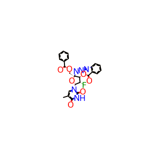 Cc1cn([C@@H]2O[C@@](COC(=O)c3ccccc3)(N=[N+]=[N-])[C@@H](OC(=O)c3ccccc3)[C@@H]2F)c(=O)[nH]c1=O